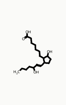 CCCCC(O)C=CC1CCC(O)C1CCCCCCC(=O)O